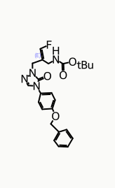 CC(C)(C)OC(=O)NC/C(=C\F)Cn1ncn(-c2ccc(OCc3ccccc3)cc2)c1=O